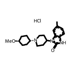 CO[C@H]1CC[C@H](N2CCC(n3c(=O)[nH]c4ccc(C)cc43)CC2)CC1.Cl